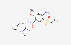 CCS(=O)(=O)c1cc(C(=O)NC(CC2CCC2)C2CCCN2)c(OC)cc1N